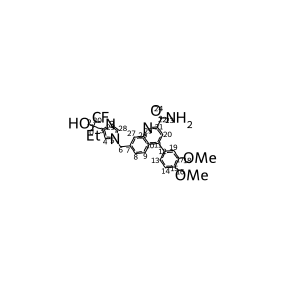 CCC(O)(c1cn(Cc2ccc3c(-c4ccc(OC)c(OC)c4)cc(C(N)=O)nc3c2)cn1)C(F)(F)F